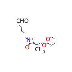 C/C(COC1CCCCO1)=C1/CN(CCCCCC=O)C1=O